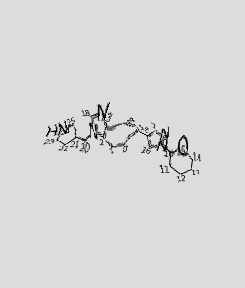 c1cc2c(cc1-c1cnn(C3CCCCO3)c1)ncn2CC1CCNC1